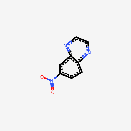 O=[N+]([O-])c1[c]cc2nccnc2c1